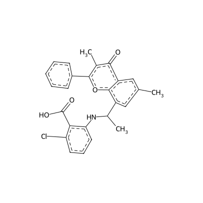 Cc1cc(C(C)Nc2cccc(Cl)c2C(=O)O)c2oc(-c3ccccc3)c(C)c(=O)c2c1